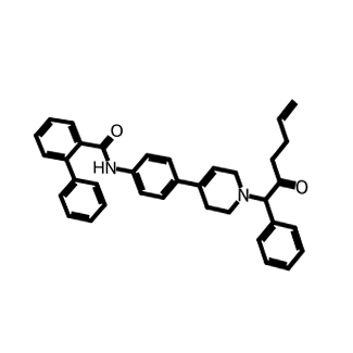 C=CCCC(=O)C(c1ccccc1)N1CC=C(c2ccc(NC(=O)c3ccccc3-c3ccccc3)cc2)CC1